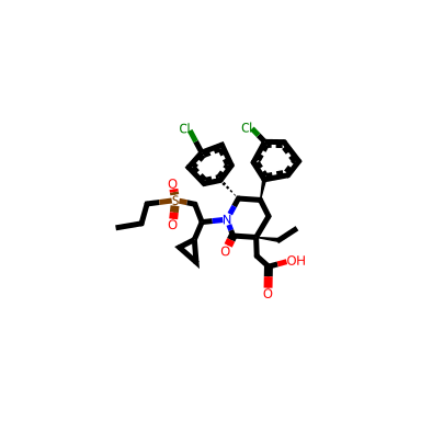 CCCS(=O)(=O)CC(C1CC1)N1C(=O)[C@@](CC)(CC(=O)O)C[C@H](c2cccc(Cl)c2)[C@H]1c1ccc(Cl)cc1